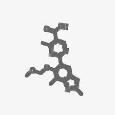 COCOc1c(-c2ncc(C(=O)O)c(C)n2)cc2cn(C)nc2c1C